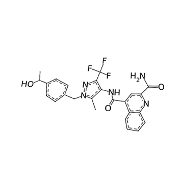 Cc1c(NC(=O)c2cc(C(N)=O)nc3ccccc23)c(C(F)(F)F)nn1Cc1ccc(C(C)O)cc1